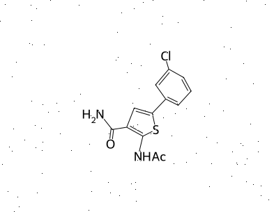 CC(=O)Nc1sc(-c2cccc(Cl)c2)cc1C(N)=O